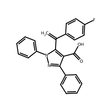 C=C(c1ccc(F)cc1)c1c(C(=O)O)c(-c2ccccc2)nn1-c1ccccc1